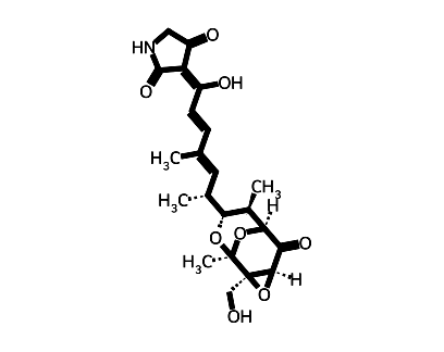 CC(/C=C/C(O)=C1/C(=O)CNC1=O)=C\[C@@H](C)[C@H]1O[C@@]2(C)O[C@H](C(=O)[C@H]3O[C@]32CO)[C@@H]1C